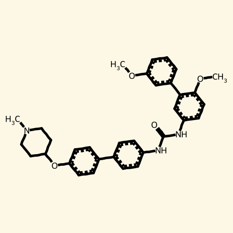 COc1cccc(-c2cc(NC(=O)Nc3ccc(-c4ccc(OC5CCN(C)CC5)cc4)cc3)ccc2OC)c1